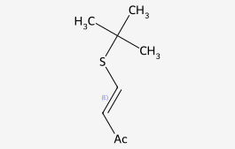 CC(=O)/C=C/SC(C)(C)C